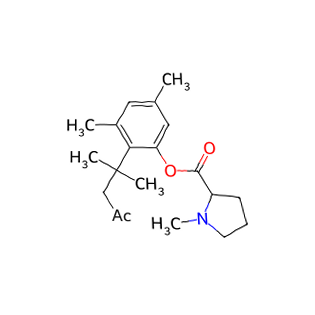 CC(=O)CC(C)(C)c1c(C)cc(C)cc1OC(=O)C1CCCN1C